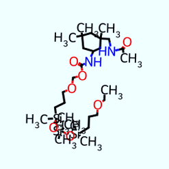 CCOCCC[Si](C)(C)O[Si](C)(C)O[Si](C)(C)CCCOCOC(=O)NC1CC(C)(C)CC(C)(CNC(C)=O)C1